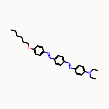 CCCCCCOc1ccc(N=Nc2ccc(N=Nc3ccc(N(CC)CC)cc3)cc2)cc1